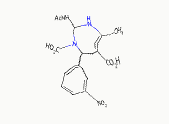 CC(=O)NC1NC(C)=C(C(=O)O)C(c2cccc([N+](=O)[O-])c2)N1C(=O)O